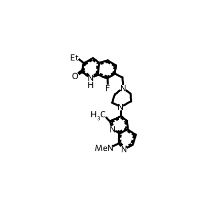 CCc1cc2ccc(CN3CCN(c4cc5ccnc(NC)c5nc4C)CC3)c(F)c2[nH]c1=O